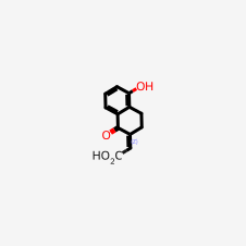 O=C(O)/C=C1/CCc2c(O)cccc2C1=O